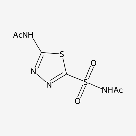 CC(=O)Nc1nnc(S(=O)(=O)NC(C)=O)s1